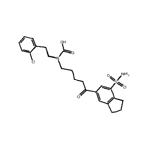 NS(=O)(=O)c1cc(C(=O)CCCCN(CCc2ccccc2Cl)C(=O)O)cc2c1CCC2